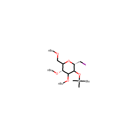 CCCCOCC1O[C@H](CI)C(O[Si](C)(C)C(C)(C)C)C(OCCCC)[C@@H]1OCCCC